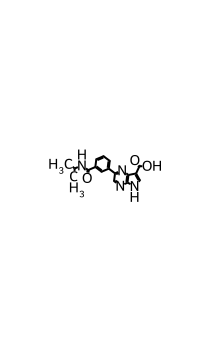 CC(C)NC(=O)c1cccc(-c2cnc3[nH]cc(C(=O)O)c3n2)c1